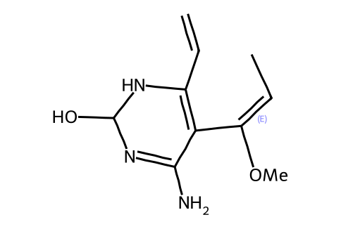 C=CC1=C(/C(=C\C)OC)C(N)=NC(O)N1